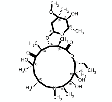 CC[C@H]1OC(=O)[C@H](C)[C@@H](O[C@H]2C[C@@](C)(OC)[C@@H](O)[C@H](C)O2)[C@H](C)C(=O)[C@](C)(O)C[C@@H](C)CN(C)[C@H](C)[C@@H](O)[C@]1(C)O